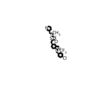 CN(Cc1cccnc1)C1=NC(=O)C(=Cc2ccc3c(cnn3Cc3ccc(Cl)cc3C(F)(F)F)c2)S1